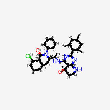 Cc1cc(C)c(-c2nc(NC(C)c3cc4cccc(Cl)c4c(=O)n3-c3ccccc3)c3c(=O)cc[nH]c3n2)c(C)c1